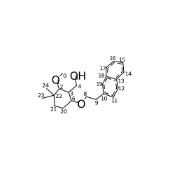 COC1C(CO)C(OCCc2ccc3ccccc3c2)CCC1(C)C